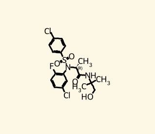 C[C@H](C(=O)NC(C)(C)CO)N(c1cc(Cl)ccc1F)S(=O)(=O)c1ccc(Cl)cc1